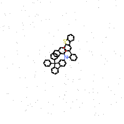 c1ccc(C2(c3ccccc3)c3ccccc3-c3ccc(N(c4ccccc4-c4ccc5sc6ccccc6c5c4)c4cccc5ccccc45)cc32)cc1